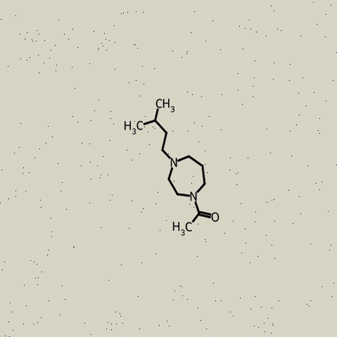 CC(=O)N1CCCN(CCC(C)C)CC1